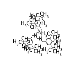 CC(C)(C)c1cc(CN2CN(Cc3cc(C(C)(C)C)c(O)c(C(C)(C)C)c3)CN(Cc3cc(C(C)(C)C)c(O)c(C(C)(C)C)c3)C2)cc(C(C)(C)C)c1O